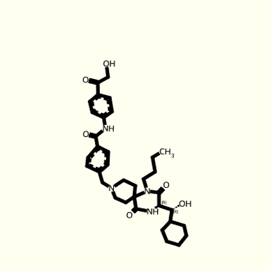 CCCCN1C(=O)[C@@H]([C@H](O)C2CCCCC2)NC(=O)C12CCN(Cc1ccc(C(=O)Nc3ccc(C(=O)CO)cc3)cc1)CC2